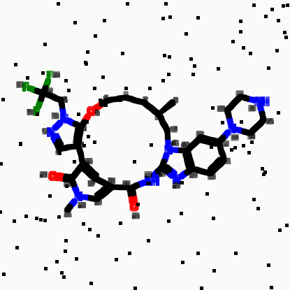 C[C@@H]1CCCOc2c(cnn2CC(F)(F)F)-c2cc(cn(C)c2=O)C(=O)Nc2nc3ccc(N4CCNCC4)cc3n2C1